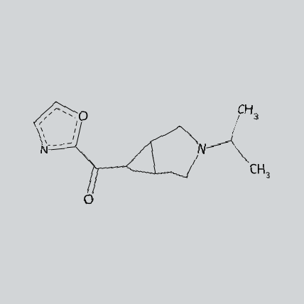 CC(C)N1CC2C(C1)C2C(=O)c1ncco1